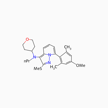 CCCN(c1c(SC)nn2c(-c3c(C)cc(OC)cc3C)cccc12)C1CCOCC1